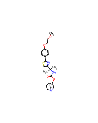 COCCOc1ccc(-c2nc(C(C)(C)NC(=O)OC3CCN4CCC3CC4)cs2)cc1